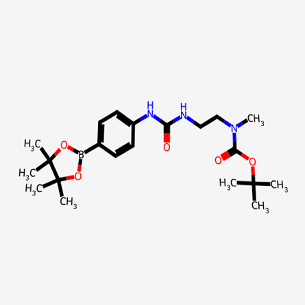 CN(CCNC(=O)Nc1ccc(B2OC(C)(C)C(C)(C)O2)cc1)C(=O)OC(C)(C)C